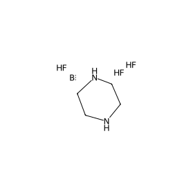 C1CNCCN1.F.F.F.[B]